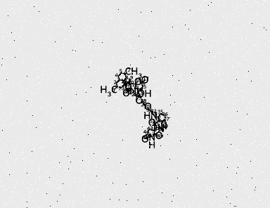 C[C@H]1C=C2C=C[C@H](C)[C@H](CC[C@@H]3C[C@@H](O)CC(=O)O3)[C@H]2[C@@H](OC(=O)NCCOCCOCCNc2cccc3nnn(C4CCC(=O)NC4=O)c(=O)c23)C1